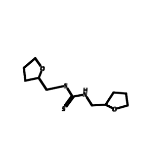 S=C(NCC1CCCO1)SCC1CCCO1